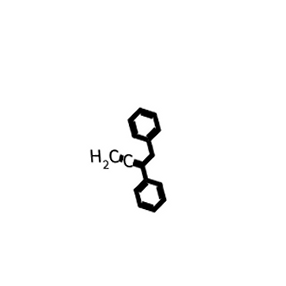 C=C=C(Cc1ccccc1)c1ccccc1